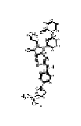 C=CCn1c(=O)c2cnc(Nc3ccc(N4CC[C@@H](N(C)C)C4)cc3)nc2n1-c1cccc(-n2ccccc2=O)n1